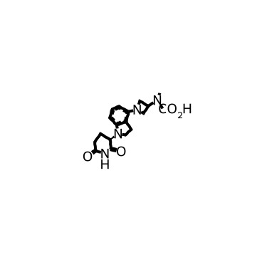 CN(C(=O)O)C1CN(c2cccc3c2CCN3[C@@H]2CCC(=O)NC2=O)C1